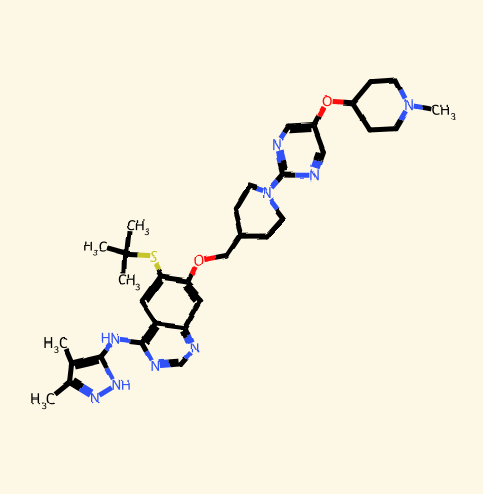 Cc1n[nH]c(Nc2ncnc3cc(OCC4CCN(c5ncc(OC6CCN(C)CC6)cn5)CC4)c(SC(C)(C)C)cc23)c1C